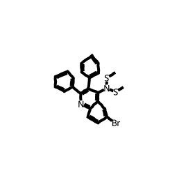 CSN(SC)c1c(-c2ccccc2)c(-c2ccccc2)nc2ccc(Br)cc12